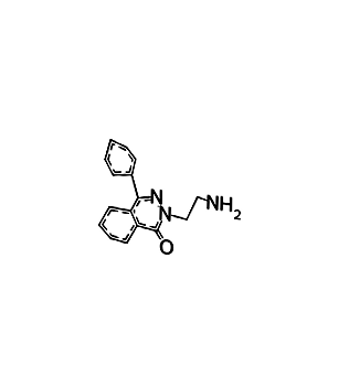 NCCn1nc(-c2ccccc2)c2ccccc2c1=O